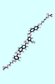 C=C(C)C(=O)OCCCCCCOc1ccc2cc(C(=O)Oc3ccc(OC(=O)c4ccc5cc(OC(=O)c6ccc(OCCCCOCC7CO7)cc6)ccc5c4)c(CCC)c3)ccc2c1